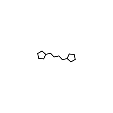 [CH](CCC1CCCC1)CC1CCCC1